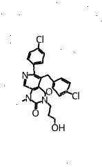 Cn1c(=O)n(CCCO)c(=O)c2c(Cc3ccc(Cl)cc3)c(-c3ccc(Cl)cc3)ncc21